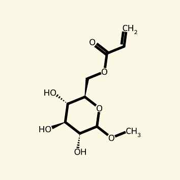 C=CC(=O)OC[C@H]1OC(OC)[C@H](O)[C@@H](O)[C@@H]1O